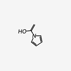 C=C(O)n1cccc1